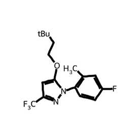 Cc1cc(F)ccc1-n1nc(C(F)(F)F)cc1OCCC(C)(C)C